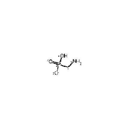 NCP([O])(=O)O